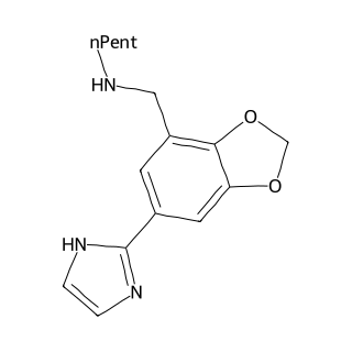 CCCCCNCc1cc(-c2ncc[nH]2)cc2c1OCO2